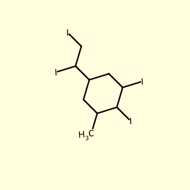 CC1CC(C(I)CI)CC(I)C1I